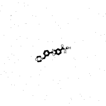 O=C(NO)c1ccc2oc(-c3cccc(CN4CCOCC4)c3)nc2c1